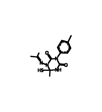 CC(C)=NN1C(=O)N(c2ccc(C)cc2)C(=O)NC1(C)S